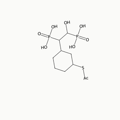 CC(=O)SC1CCCC(C(C(O)P(=O)(O)O)P(=O)(O)O)C1